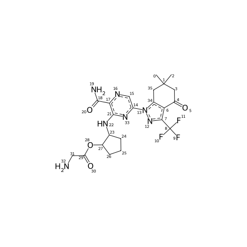 CC1(C)CC(=O)c2c(C(F)(F)F)nn(-c3cnc(C(N)=O)c(NC4CCCC4OC(=O)CN)n3)c2C1